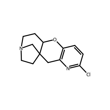 Clc1ccc2c(n1)CC13CCN(CCC1O2)C3